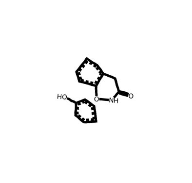 O=C1Cc2ccccc2ON1.Oc1ccccc1